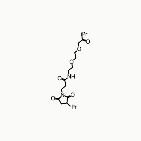 CC(C)C(=O)COCCOCCNC(=O)CCN1C(=O)CC(C(C)C)C1=O